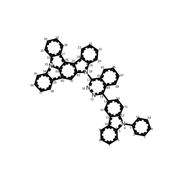 c1ccc(-n2c3ccccc3c3cc(-c4nnc(-n5c6ccccc6c6c7c8ccccc8n8c9ccccc9c(cc65)c78)c5ccccc45)ccc32)cc1